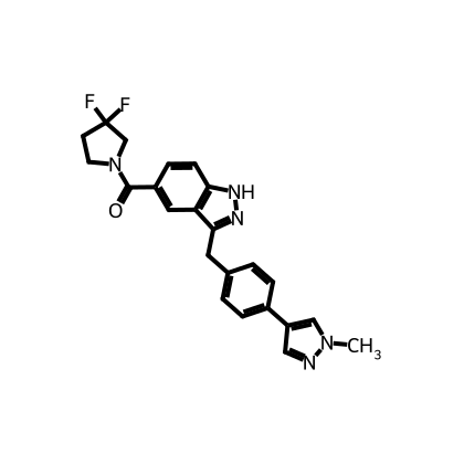 Cn1cc(-c2ccc(Cc3n[nH]c4ccc(C(=O)N5CCC(F)(F)C5)cc34)cc2)cn1